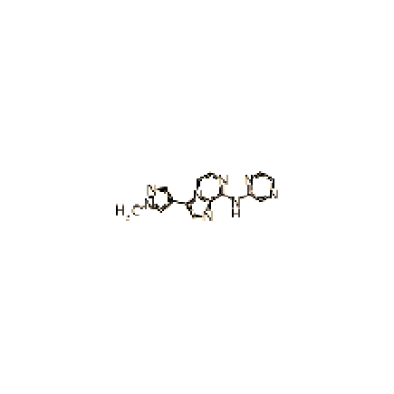 Cn1cc(-c2cnc3c(Nc4cnccn4)nccn23)cn1